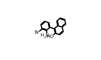 Nc1c(Br)cccc1-c1c(O)ccc2ccccc12